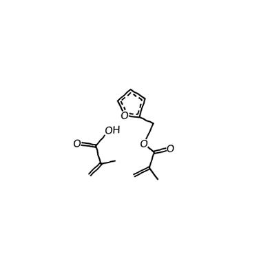 C=C(C)C(=O)O.C=C(C)C(=O)OCc1ccco1